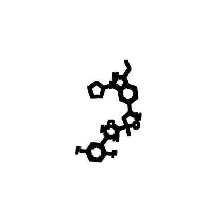 CCc1nn(C2CCCC2)c2cc(C3=NOC(C)(c4nc(-c5cc(F)ccc5F)no4)C3)ccc12